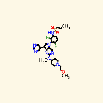 CCCS(=O)(=O)Nc1ccc(F)c(-n2cc(-c3cncnc3)c3nc(N(C)C4CCN(CCOC)CC4)ncc32)c1F